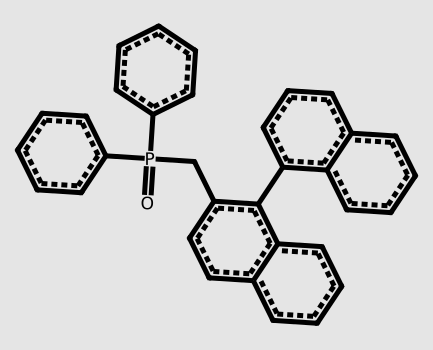 O=P(Cc1ccc2ccccc2c1-c1cccc2ccccc12)(c1ccccc1)c1ccccc1